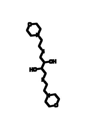 OC(CSCCN1CCOCC1)C(O)CSCCN1CCOCC1